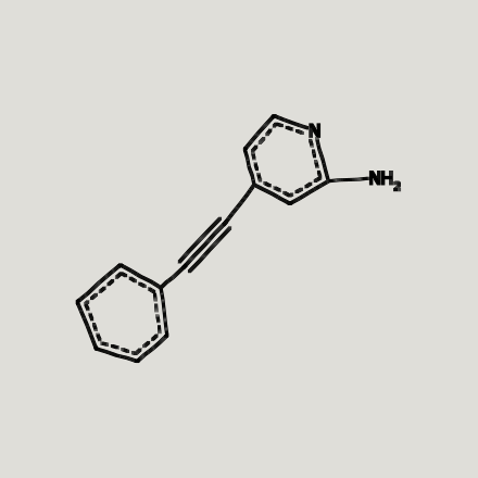 Nc1cc(C#Cc2ccccc2)ccn1